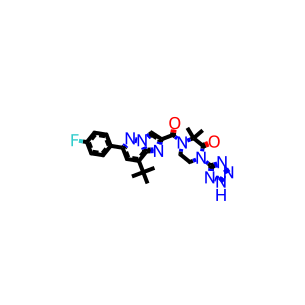 CC(C)(C)c1cc(-c2ccc(F)cc2)nn2cc(C(=O)N3CCN(c4nn[nH]n4)C(=O)C3(C)C)nc12